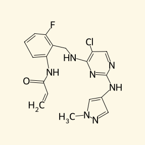 C=CC(=O)Nc1cccc(F)c1CNc1nc(Nc2cnn(C)c2)ncc1Cl